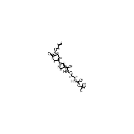 C=CCON1C(=O)N2CC(n3cc(C(=O)NOCCNC(=O)OC(C)(C)C)cn3)=CC1C2